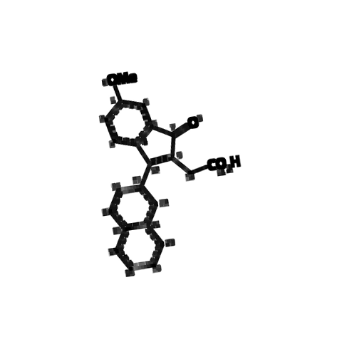 COc1ccc2c(c1)C(=O)C(CC(=O)O)=C2c1ccc2ccccc2c1